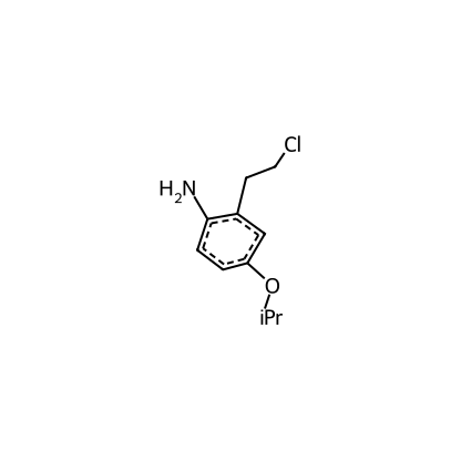 CC(C)Oc1ccc(N)c(CCCl)c1